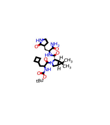 CC(C)(C)OC(=O)NC(CC1CCC1)C(=O)N1C[C@H]2[C@@H]([C@H]1C(=O)N[C@@H](C[C@@H]1CCNC1=O)C(N)=O)C2(C)C